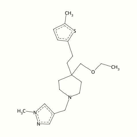 CCOCC1(CCc2ccc(C)s2)CCN(Cc2cnn(C)c2)CC1